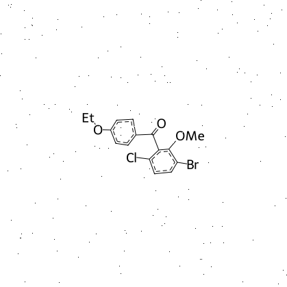 CCOc1ccc(C(=O)c2c(Cl)ccc(Br)c2OC)cc1